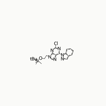 CC(C)(C)[Si](C)(C)OCCn1cnc2c(-n3ncc4ccccc43)nc(Cl)nc21